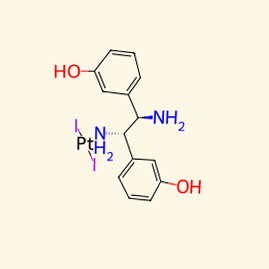 N[C@H](c1cccc(O)c1)[C@@H](N)c1cccc(O)c1.[I][Pt][I]